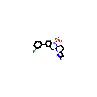 Cc1cc2n(n1)[C@@H](Cc1cccc(-c3cccc(F)c3)c1)[C@@H](NS(C)(=O)=O)CC2